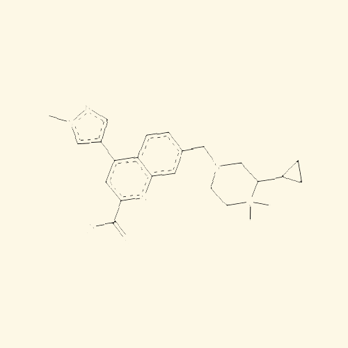 Cn1cc(-c2cc(C(N)=O)nc3cc(CN4CCS(O)(O)C(C5CC5)C4)ccc23)cn1